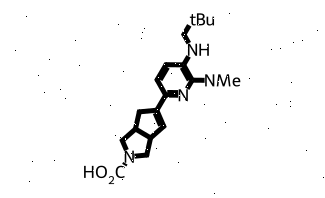 CNc1nc(C2=CC3CN(C(=O)O)CC3C2)ccc1NCC(C)(C)C